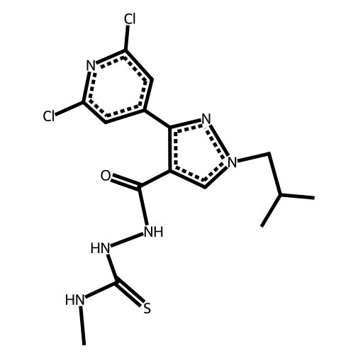 CNC(=S)NNC(=O)c1cn(CC(C)C)nc1-c1cc(Cl)nc(Cl)c1